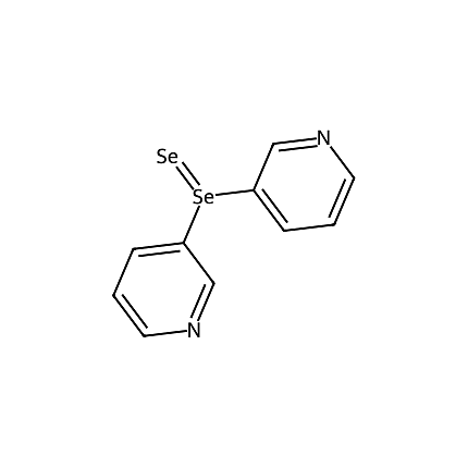 [Se]=[Se](c1cccnc1)c1cccnc1